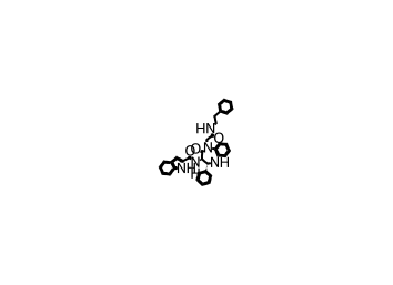 O=C(CN1C(=O)[C@H](NC(=O)c2cc3ccccc3[nH]2)[C@@H](c2ccccc2)Nc2ccccc21)NCCc1ccccc1